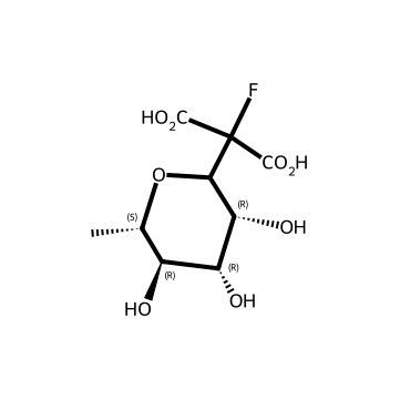 C[C@@H]1OC(C(F)(C(=O)O)C(=O)O)[C@H](O)[C@H](O)[C@H]1O